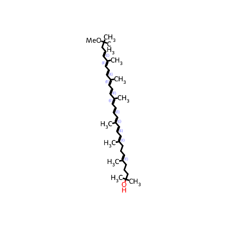 COC(C)(C)C/C=C/C(C)=C/C=C/C(C)=C/C=C/C(C)=C/C=C/C=C(C)/C=C/C=C(\C)CC/C=C(\C)CCCC(C)(C)O